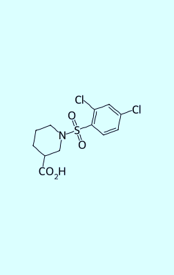 O=C(O)C1CCCN(S(=O)(=O)c2ccc(Cl)cc2Cl)C1